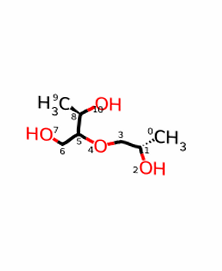 C[C@H](O)COC(CO)[C@@H](C)O